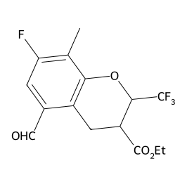 CCOC(=O)C1Cc2c(C=O)cc(F)c(C)c2OC1C(F)(F)F